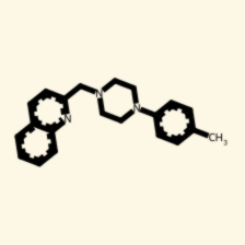 Cc1ccc(N2CCN(Cc3ccc4ccccc4n3)CC2)cc1